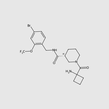 NC1(C(=O)N2CCC[C@@H](C(=O)NCc3ccc(Br)cc3OC(F)(F)F)C2)CCC1